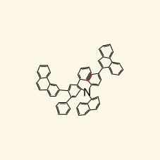 c1ccc(-c2cc(N(c3ccc(-c4cc5ccccc5c5ccccc45)cc3)c3cccc4ccccc34)c(-c3ccccc3)cc2-c2ccc3ccc4ccccc4c3c2)cc1